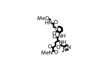 CNC(=O)C(=O)CCC(NC(=O)c1cncn1C)C(=O)Nc1cccn(CC(=O)NCOC)c1=O